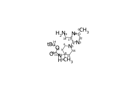 Cc1cnc(N2CCC(C)(NC(=O)OC(C)(C)C)CC2)c(CN)n1